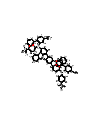 CC(C)c1ccc(-c2ccccc2)c(N(c2ccc([Si](C)(C)C)cc2)c2ccc3c4cc5c(cc4n4c6ccccc6c2c34)c2ccc(N(c3ccc([Si](C)(C)C)cc3)c3cc(C(C)C)ccc3-c3ccccc3)c3c4ccccc4n5c23)c1